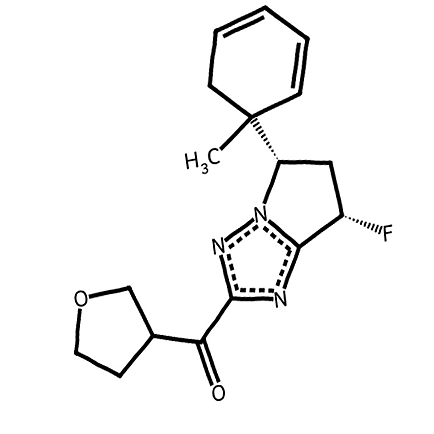 CC1([C@@H]2C[C@H](F)c3nc(C(=O)C4CCOC4)nn32)C=CC=CC1